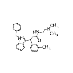 Cc1cccc(C(CC(=O)NCCN(C)C)c2cn(Cc3ccccc3)c3ccccc23)c1